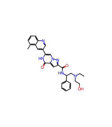 CCN(CCO)CC(NC(=O)c1cc2c(=O)[nH]c(-c3cnc4cccc(C)c4c3)cn2n1)c1ccccc1